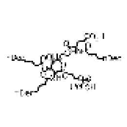 CCCCCCCCCCCCCC(=O)NC(CCC(=O)O)C(=O)OC[C@H]1O[C@H](OCCOP(=O)(O)O)[C@H](NC(=O)CCCCCCCCCCCCC)[C@@H](OC(=O)CCCCCCCCCCCCC)[C@@H]1O